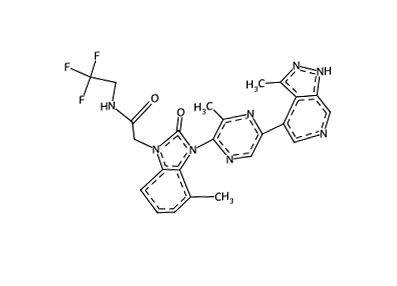 Cc1nc(-c2cncc3[nH]nc(C)c23)cnc1-n1c(=O)n(CC(=O)NCC(F)(F)F)c2cccc(C)c21